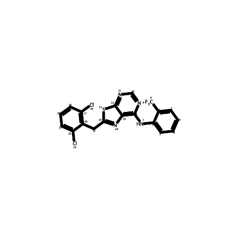 FC(F)(F)c1ccccc1Nc1ncnc2sc(Cc3c(Cl)cccc3Cl)nc12